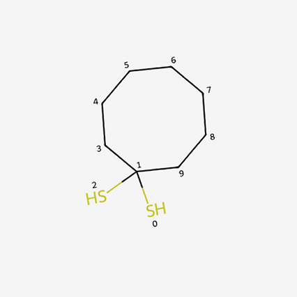 SC1(S)CCCCCCC1